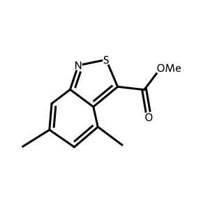 COC(=O)c1snc2cc(C)cc(C)c12